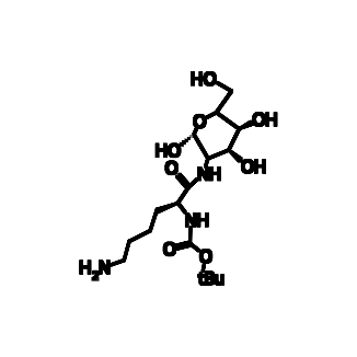 CC(C)(C)OC(=O)N[C@@H](CCCCN)C(=O)NC1[C@H](O)OC(CO)[C@@H](O)[C@H]1O